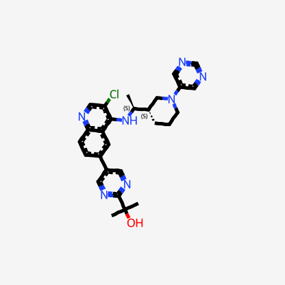 C[C@H](Nc1c(Cl)cnc2ccc(-c3cnc(C(C)(C)O)nc3)cc12)[C@H]1CCCN(c2cncnc2)C1